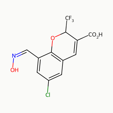 O=C(O)C1=Cc2cc(Cl)cc(/C=N\O)c2OC1C(F)(F)F